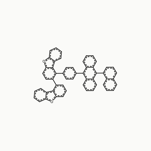 c1ccc2c(-c3c4ccccc4c(-c4ccc(-c5c(-c6cccc7oc8ccccc8c67)ccc6oc7ccccc7c56)cc4)c4ccccc34)cccc2c1